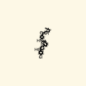 CN1CCCCC1CNC(=O)c1ccc(Nc2nc3c(N4CCC(O)(c5ccc(Cl)cc5)CC4)cccn3n2)cc1